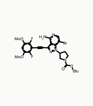 COc1cc(OC)c(F)c(C#Cc2nn(C3CCN(C(=O)OC(C)(C)C)C3)c3c(Br)cnc(N)c23)c1F